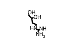 N=C(N)NCCC(O)CO